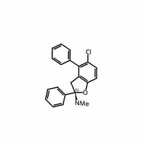 CN[C@@]1(c2ccccc2)Cc2c(ccc(Cl)c2-c2ccccc2)O1